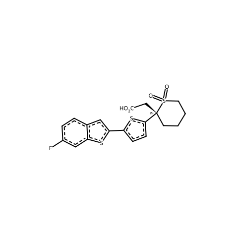 O=C(O)C[C@]1(c2ccc(-c3cc4ccc(F)cc4s3)s2)CCCCS1(=O)=O